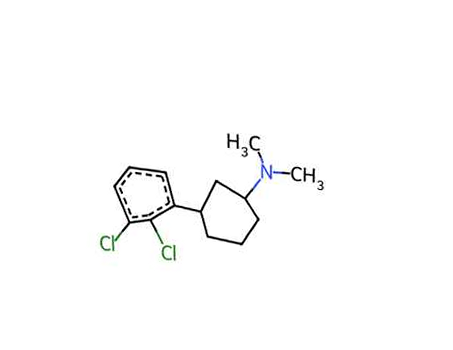 CN(C)C1CCCC(c2cccc(Cl)c2Cl)C1